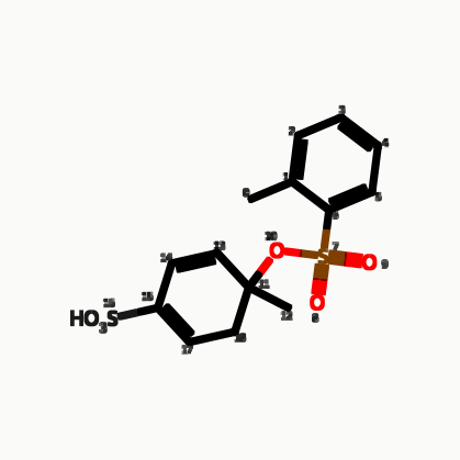 Cc1ccccc1S(=O)(=O)OC1(C)C=CC(S(=O)(=O)O)=CC1